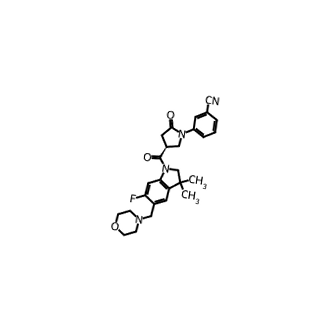 CC1(C)CN(C(=O)[C@H]2CC(=O)N(c3cccc(C#N)c3)C2)c2cc(F)c(CN3CCOCC3)cc21